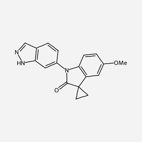 COc1ccc2c(c1)C1(CC1)C(=O)N2c1ccc2cn[nH]c2c1